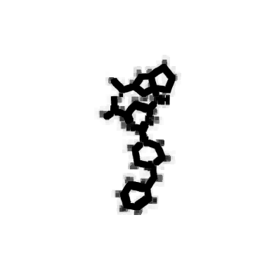 CCC1CC2CCCC2(Nc2cc(N(C)C)nc(N3CCN(Cc4ccccc4)CC3)n2)C1